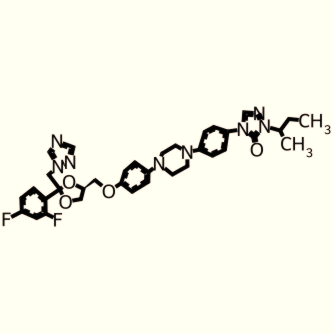 CCC(C)n1ncn(-c2ccc(N3CCN(c4ccc(OC[C@H]5COC(Cn6cncn6)(c6ccc(F)cc6F)O5)cc4)CC3)cc2)c1=O